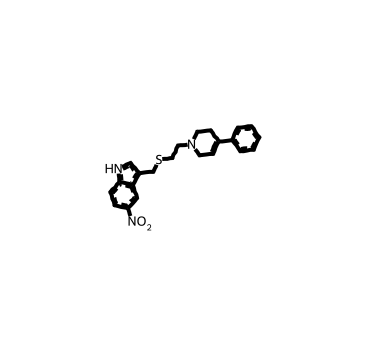 O=[N+]([O-])c1ccc2[nH]cc(CSCCN3CC=C(c4ccccc4)CC3)c2c1